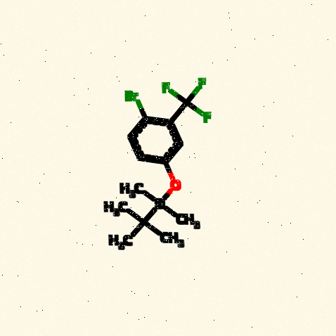 CC(C)(C)[Si](C)(C)Oc1ccc(Br)c(C(F)(F)F)c1